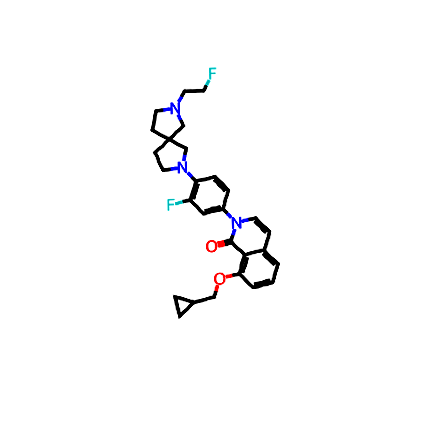 O=c1c2c(OCC3CC3)cccc2ccn1-c1ccc(N2CCC3(CCN(CCF)C3)C2)c(F)c1